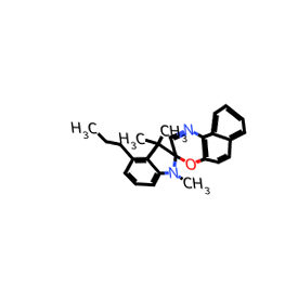 CCCc1cccc2c1C(C)(C)C1(C=Nc3c(ccc4ccccc34)O1)N2C